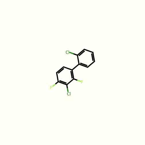 Fc1ccc(-c2ccccc2Cl)c(F)c1Cl